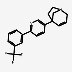 FC(F)(F)c1cccc(-c2ccc(C34C=CCN(CC3)C4)cn2)c1